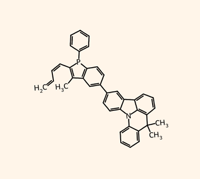 C=C/C=C\c1c(C)c2cc(-c3ccc4c(c3)c3cccc5c3n4-c3ccccc3C5(C)C)ccc2p1-c1ccccc1